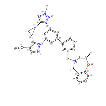 C[C@@H]1CN(Cc2cccc(-c3cccc(-n4ncc(C(=O)O)c4[C@@H]4C[C@H]4c4cn(C)nn4)c3)c2)Cc2ccccc2O1